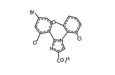 O=C(O)c1cn(-c2c(Cl)cccc2Cl)c(-c2ccc(Br)cc2Cl)n1